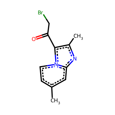 Cc1ccn2c(C(=O)CBr)c(C)nc2c1